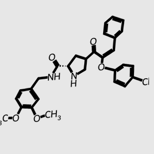 COc1ccc(CNC(=O)[C@@H]2CC(C(=O)/C(=C\c3ccccc3)Oc3ccc(Cl)cc3)CN2)cc1OC